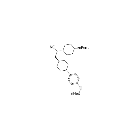 CCCCCCOc1ccc([C@H]2CC[C@H](CC(C#N)[C@H]3CC[C@H](CCCCC)CC3)CC2)cc1